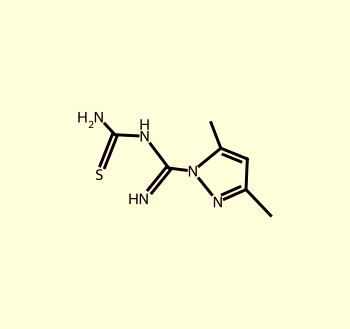 Cc1cc(C)n(C(=N)NC(N)=S)n1